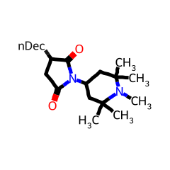 CCCCCCCCCCC1CC(=O)N(C2CC(C)(C)N(C)C(C)(C)C2)C1=O